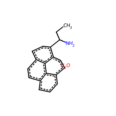 CCC(N)c1ccc2ccc3cccc4ccc1c2c34.O